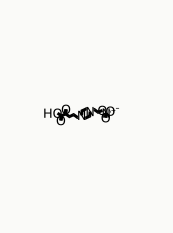 O=C(O)C(=O)CCCN1CCN(CCO[N+](=O)[O-])CC1